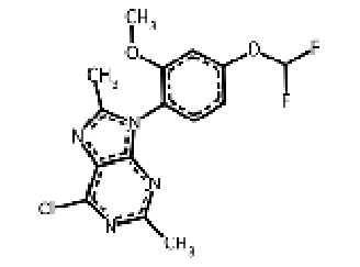 COc1cc(OC(F)F)ccc1-n1c(C)nc2c(Cl)nc(C)nc21